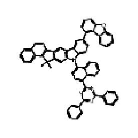 CC1(C)c2cc3c(cc2-c2ccc4ccccc4c21)c1cc(-c2cccc4oc5ccccc5c24)ccc1n3-c1ccc(-c2nc(-c3ccccc3)nc(-c3ccccc3)n2)c2ccccc12